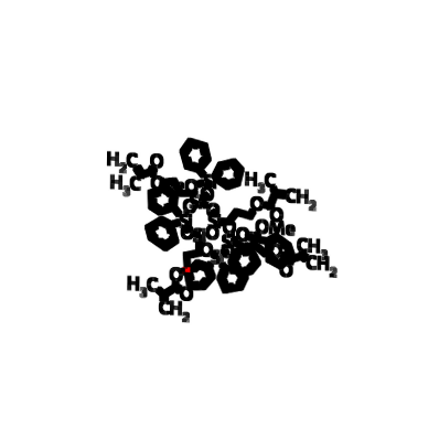 C=C(C)C(=O)OCCC[Si]12O[Si](CCCOC(=O)C(=C)C)(O[Si](OC)(c3ccccc3)c3ccccc3)O[Si](c3ccccc3)(c3ccccc3)O[Si](CCCOC(=O)C(=C)C)(O1)O[Si](c1ccccc1)(c1ccccc1)O[Si](CCCOC(=O)C(=C)C)(O[Si](OC)(c1ccccc1)c1ccccc1)O2